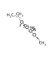 CCCC#Cc1ccc(-c2ccc(-c3cc4sc(-c5ccc(CCC(CC)CCCC)cc5F)cc4s3)c3nsnc23)cc1